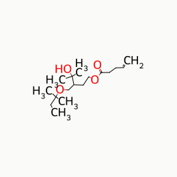 C=CCCC(=O)OCCC(COC(C)(C)CC)C(C)(C)O